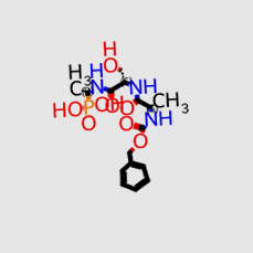 C[C@H](NC(=O)OCc1ccccc1)C(=O)N[C@@H](CO)C(=O)N[C@@H](C)P(=O)(O)O